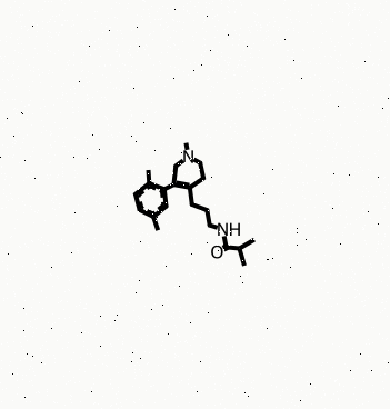 Cc1ccc(C)c(C2=C(CCCNC(=O)C(C)C)CCN(C)C2)c1